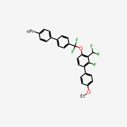 CCCc1ccc(-c2ccc(C(F)(F)Oc3ccc(-c4ccc(OCC)cc4)c(F)c3C(F)F)cc2)cc1